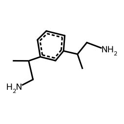 CC(CN)c1cccc(C(C)CN)c1